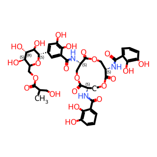 CC(CO)C(=O)OCC1O[C@@H](c2cc(O)c(O)c(C(=O)N[C@H]3COC(=O)[C@@H](NC(=O)c4cccc(O)c4O)COC(=O)[C@@H](NC(=O)c4cccc(O)c4O)COC3=O)c2)C(O)[C@@H](O)[C@@H]1O